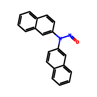 O=NN(c1ccc2ccccc2c1)c1ccc2ccccc2c1